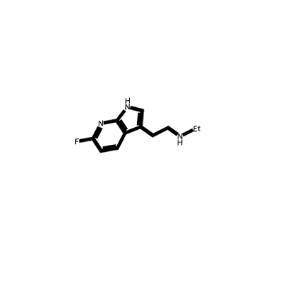 CCNCCc1c[nH]c2nc(F)ccc12